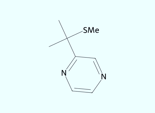 CSC(C)(C)c1cnccn1